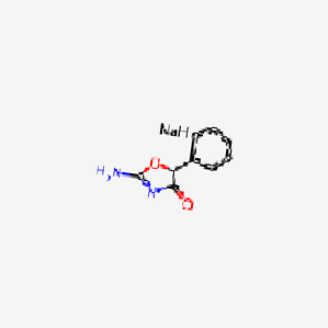 NC1=NC(=O)C(c2ccccc2)O1.[NaH]